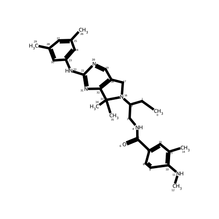 CCC(CNC(=O)c1ccc(NC)c(C)c1)N1Cc2cnc(Nc3cc(C)cc(C)c3)nc2C1(C)C